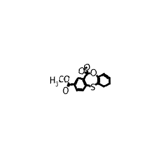 COC(=O)c1ccc2c(c1)C1(OO1)OC1=C(CCC=C1)S2